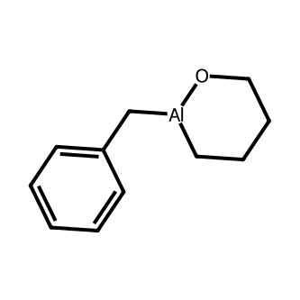 c1ccc([CH2][Al]2[CH2]CCC[O]2)cc1